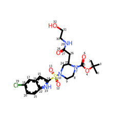 CC(C)(C)OC(=O)N1CCN(S(=O)(=O)c2cc3cc(Cl)ccc3[nH]2)CC1CC(=O)NCCO